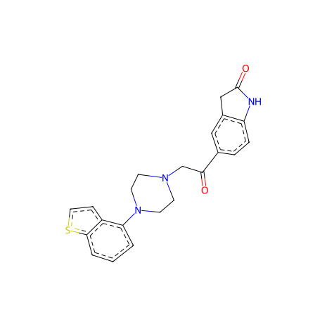 O=C1Cc2cc(C(=O)CN3CCN(c4cccc5sccc45)CC3)ccc2N1